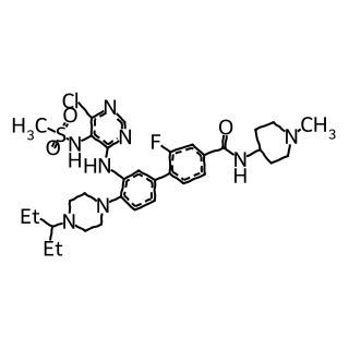 CCC(CC)N1CCN(c2ccc(-c3ccc(C(=O)NC4CCN(C)CC4)cc3F)cc2Nc2ncnc(Cl)c2NS(C)(=O)=O)CC1